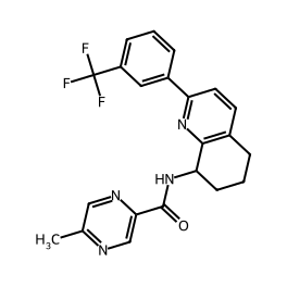 Cc1cnc(C(=O)NC2CCCc3ccc(-c4cccc(C(F)(F)F)c4)nc32)cn1